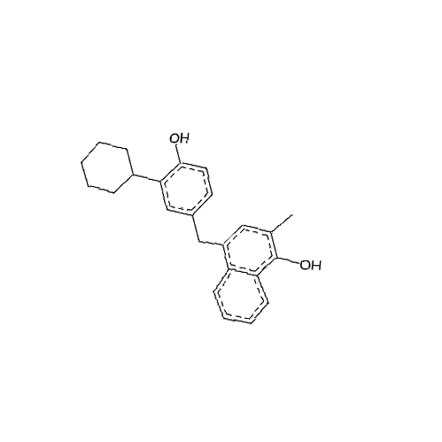 Cc1cc(Cc2ccc(O)c(C3CCCCC3)c2)c2ccccc2c1O